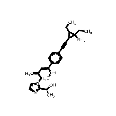 C=C(/C=C(\PC)c1ccc(C#CC2C(CC)C2(N)CC)cc1)Cn1ccnc1[C@H](C)O